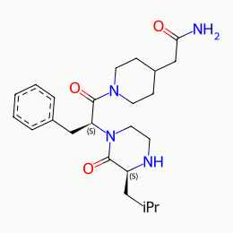 CC(C)C[C@@H]1NCCN([C@@H](Cc2ccccc2)C(=O)N2CCC(CC(N)=O)CC2)C1=O